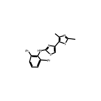 Cc1nc(C)c(-c2csc(Nc3c(C(C)C)cccc3C(C)C)n2)s1